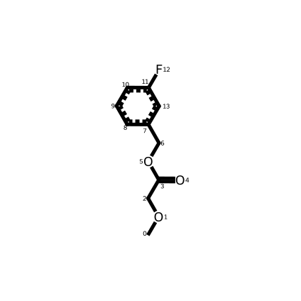 COCC(=O)OCc1cccc(F)c1